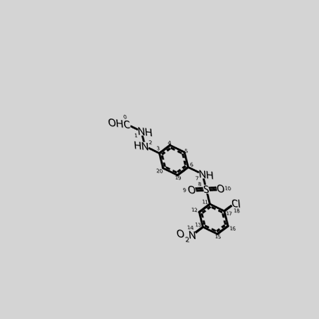 O=CNNc1ccc(NS(=O)(=O)c2cc([N+](=O)[O-])ccc2Cl)cc1